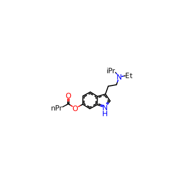 CCCC(=O)Oc1ccc2c(CCN(CC)C(C)C)c[nH]c2c1